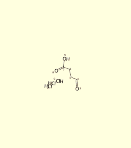 Cl.Cl.Cl.O=CCCC(=O)O